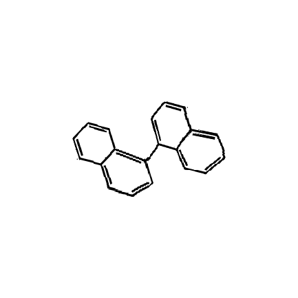 [c]1ccc(-c2cccc3[c]cccc23)c2ccccc12